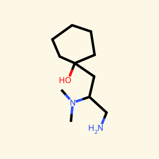 CN(C)C(CN)CC1(O)CCCCC1